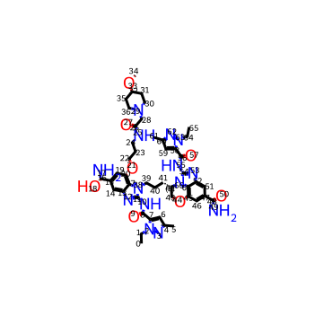 CCn1nc(C)cc1C(=O)Nc1nc2cc(C(N)O)cc(OCCCNC(=O)CN3CCC(OC)CC3)c2n1CCC[C@H]1COc2cc(C(N)=O)cc3nc(NC(=O)c4cc(C)nn4CC)n1c23